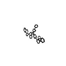 c1ccc(-c2ccc(N(c3ccc(-c4cccc5c4oc4ccccc45)cc3)c3ccc(-c4cccc5c4ccc4ccccc45)c4ccccc34)cc2)cc1